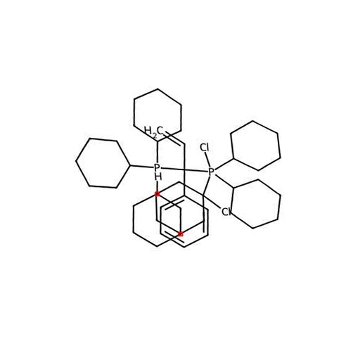 C=CC(c1ccccc1)([PH](C1CCCCC1)(C1CCCCC1)C1CCCCC1)P(Cl)(C1CCCCC1)(C1CCCCC1)C1(Cl)CCCCC1